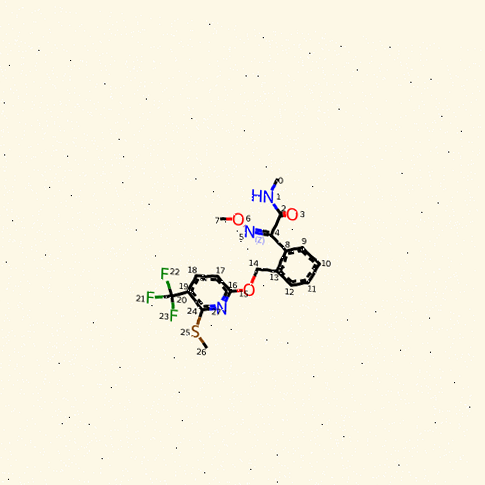 CNC(=O)/C(=N\OC)c1ccccc1COc1ccc(C(F)(F)F)c(SC)n1